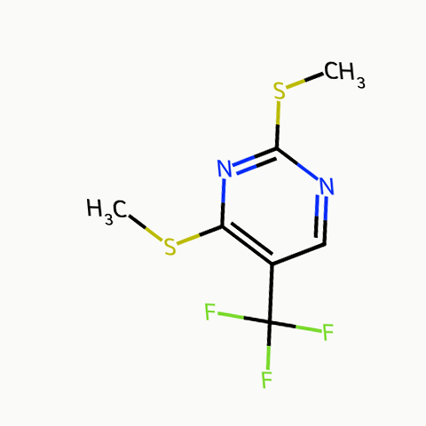 CSc1ncc(C(F)(F)F)c(SC)n1